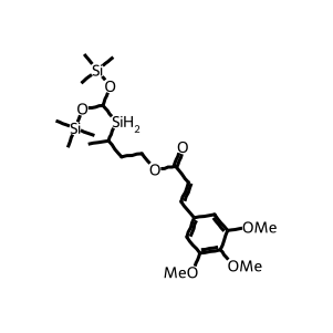 COc1cc(C=CC(=O)OCCC(C)[SiH2]C(O[Si](C)(C)C)O[Si](C)(C)C)cc(OC)c1OC